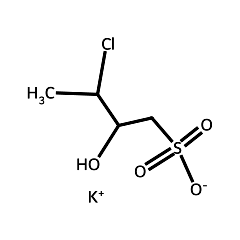 CC(Cl)C(O)CS(=O)(=O)[O-].[K+]